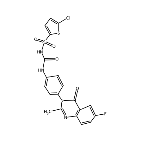 Cc1nc2ccc(F)cc2c(=O)n1-c1ccc(NC(=O)NS(=O)(=O)c2ccc(Cl)s2)cc1